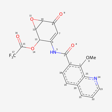 COc1c(C(=O)NC2=CC(=O)C3OC3C2OC(=O)C(F)(F)F)ccc2cccnc12